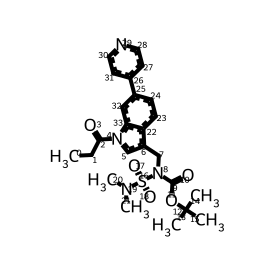 CCC(=O)n1cc(CN(C(=O)OC(C)(C)C)S(=O)(=O)N(C)C)c2ccc(-c3ccncc3)cc21